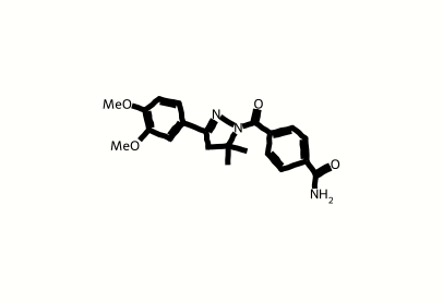 COc1ccc(C2=NN(C(=O)c3ccc(C(N)=O)cc3)C(C)(C)C2)cc1OC